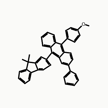 COc1ccc(-c2c3ccccc3c(-c3ccc4c(c3)C(C)(C)c3ccccc3-4)c3cc(-c4ccccc4)ccc23)cc1